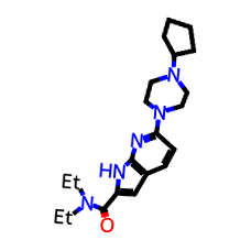 CCN(CC)C(=O)c1cc2ccc(N3CCN(C4CCCC4)CC3)nc2[nH]1